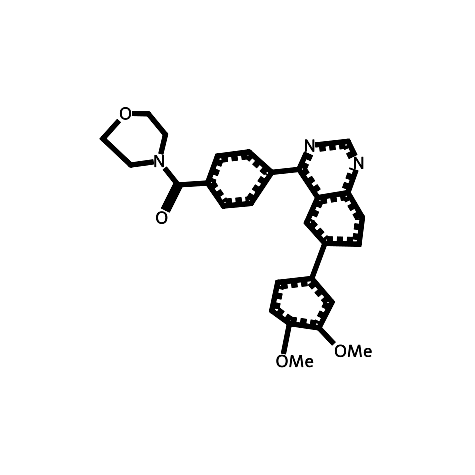 COc1ccc(-c2ccc3ncnc(-c4ccc(C(=O)N5CCOCC5)cc4)c3c2)cc1OC